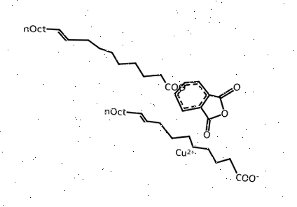 CCCCCCCCC=CCCCCCCCC(=O)[O-].CCCCCCCCC=CCCCCCCCC(=O)[O-].O=C1OC(=O)c2ccccc21.[Cu+2]